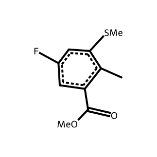 COC(=O)c1cc(F)cc(SC)c1C